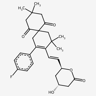 CC1(C)CC(=O)C2(CC(c3ccc(F)cc3)=C(/C=C/[C@@H]3C[C@@H](O)CC(=O)O3)C(C)(C)C2)C(=O)C1